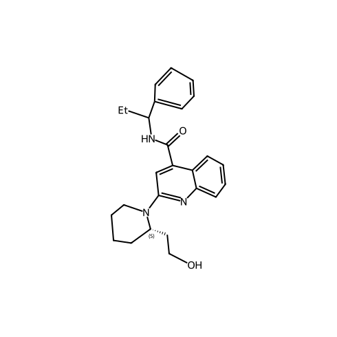 CCC(NC(=O)c1cc(N2CCCC[C@H]2CCO)nc2ccccc12)c1ccccc1